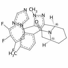 Cc1ccc(C(=O)N2[C@H]3CCC[C@@H]2c2nn(C)c(-c4cc(F)c(F)c(F)c4)c2C3)c(-n2cncn2)c1